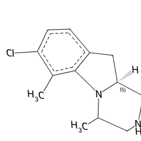 Cc1c(Cl)ccc2c1N1C(C)CNC[C@@H]1C2